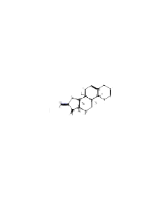 C[C@]12CCCCC1=CC[C@@H]1[C@@H]2CC[C@]2(C)C(=O)/C(=C\O)C[C@@H]12